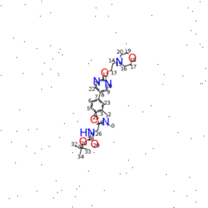 CN(Cc1cccc(-c2cnc(OCCN3CCOCC3)nc2)c1)C(=O)CNC(=O)OC(C)(C)C